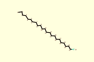 CCCCCCCCCCCCCCC[CH]CCCCCCCF